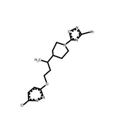 CC(C)c1noc(N2CCC(C(C)CCOc3ccc(Cl)nn3)CC2)n1